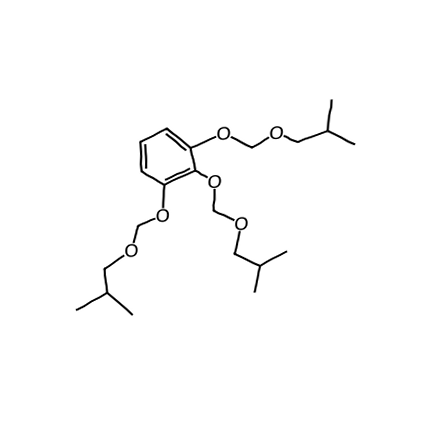 CC(C)COCOc1cccc(OCOCC(C)C)c1OCOCC(C)C